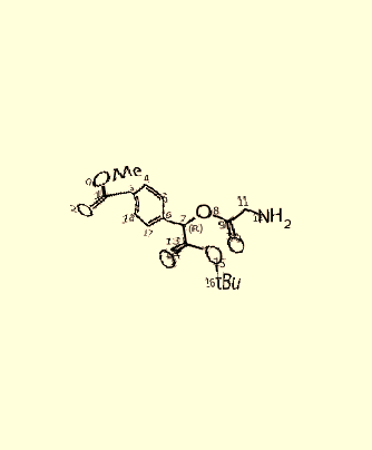 COC(=O)c1ccc([C@@H](OC(=O)CN)C(=O)OC(C)(C)C)cc1